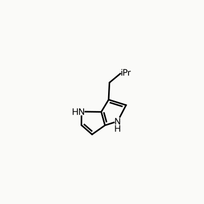 CC(C)Cc1c[nH]c2cc[nH]c12